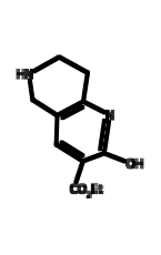 CCOC(=O)c1cc2c(nc1O)CCNC2